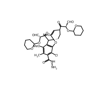 COC1=CC(C(=O)[C@@H](C=O)OC2CCCCO2)CC[C@@]12Oc1c(Cl)c(C(=O)NN)c(C)c(OC)c1C2C(=O)[C@@H](C=O)OC1CCCCO1